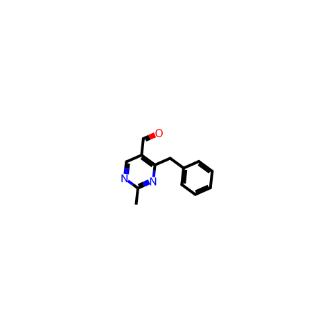 Cc1ncc(C=O)c(Cc2ccccc2)n1